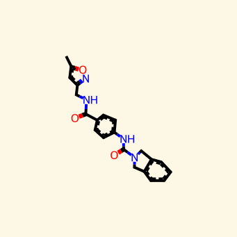 Cc1cc(CNC(=O)c2ccc(NC(=O)N3Cc4ccccc4C3)cc2)no1